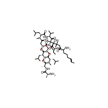 CC=CCCCC(N)C(=O)CC(C)(C)C(O)(C(=O)C(N)CC)[C@]([C]=O)(C(=O)[C@@H](NC(=O)[C@H](CC(C)C)N(C)C(=O)CN(C)C(=O)[C@H](C(C)C)N(C)C(=O)[C@H](CC(C)C)N(C)C(=O)[C@H](CC(C)C)N(C)C(=O)[C@@H](C)NC(=O)[C@H](C)N)C(C)C)N(C)C